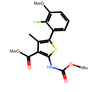 COC(=O)c1c(NC(=O)OC(C)(C)C)sc(-c2cccc(OC)c2F)c1C